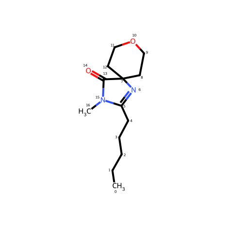 CCCCCC1=NC2(CCOCC2)C(=O)N1C